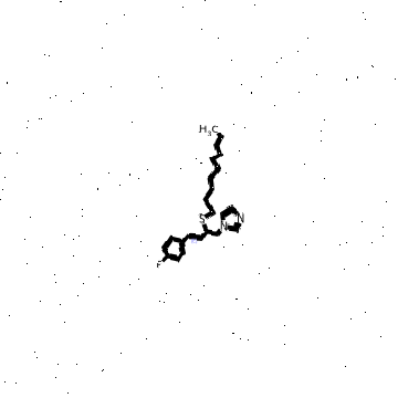 CCCCCCCCCCSC(/C=C/c1ccc(F)cc1)Cn1ccnc1